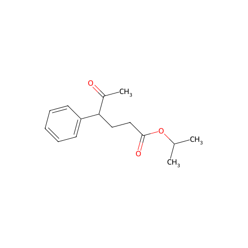 CC(=O)C(CCC(=O)OC(C)C)c1ccccc1